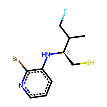 CC(CF)[C@@H](CS)Nc1cccnc1Br